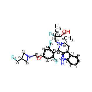 C[C@@H]1Cc2c([nH]c3ccccc23)[C@@H](c2c(F)cc(OCN3CC(CF)C3)cc2F)N1CC(C)(F)CO